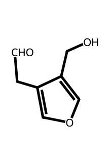 O=CCc1cocc1CO